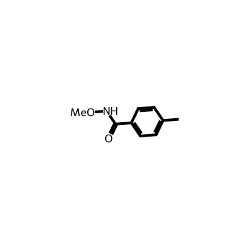 CONC(=O)c1ccc(C)cc1